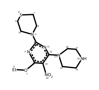 CCOc1nc(N2CCSCC2)nc(N2CCNCC2)c1[N+](=O)[O-]